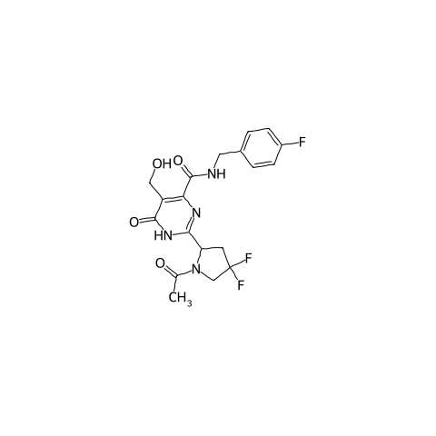 CC(=O)N1CC(F)(F)CC1c1nc(C(=O)NCc2ccc(F)cc2)c(CO)c(=O)[nH]1